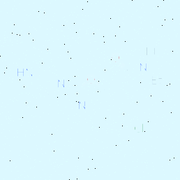 CCN(CC)C(=O)c1cc(Cl)cc2nc(N3CCNCC3C)oc12